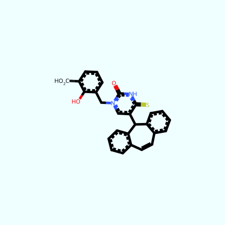 O=C(O)c1cccc(Cn2cc(C3c4ccccc4C=Cc4ccccc43)c(=S)[nH]c2=O)c1O